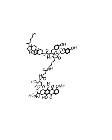 COc1cccc2c1C(=O)c1c(O)c3c(c(O)c1C2=O)C[C@@](O)(C(=O)CO)C[C@@H]3O[C@H]1C[C@H](NC(=O)CCC(=O)NCCCC[C@@H](NC(=O)C(Cc2ccc(O)cc2)NC(=O)OC2CCC3(C)C(=CCC4[C@@H]3CCC3(C)C(C(C)CCCC(C)C)CC[C@@H]43)C2)C(=O)NC(Cc2ccc(O)cc2)C(=O)O)[C@H](O)[C@H](C)O1